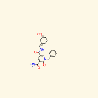 CNC(=O)c1cc(C(=O)NC[C@@H]2CCC[C@H](O)C2)cn(Cc2ccccc2)c1=O